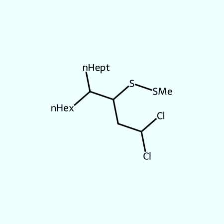 CCCCCCCC(CCCCCC)C(CC(Cl)Cl)SSC